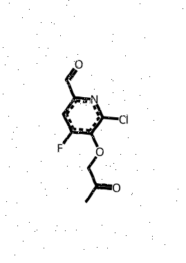 CC(=O)COc1c(F)cc(C=O)nc1Cl